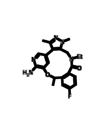 CCN1Cc2c(c(C)nn2C)-c2cnc(N)c(c2)OC(C)c2cc(F)ccc2C1=O